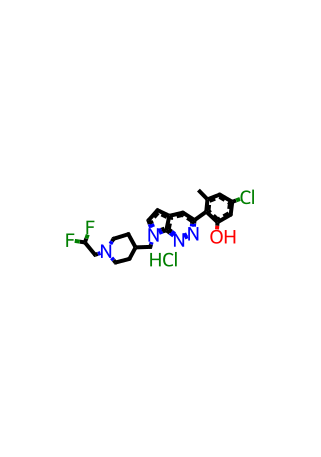 Cc1cc(Cl)cc(O)c1-c1cc2ccn(CC3CCN(CC(F)F)CC3)c2nn1.Cl